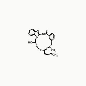 C=C/C=C\C1=N/N(C)Cc2cccc(c2)C(=O)Nc2nc3ccccc3n2CC(O)CCO1